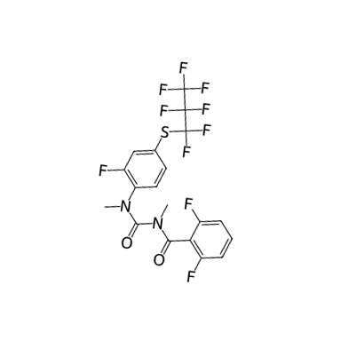 CN(C(=O)c1c(F)cccc1F)C(=O)N(C)c1ccc(SC(F)(F)C(F)(F)C(F)(F)F)cc1F